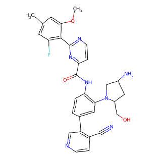 COc1cc(C)cc(F)c1-c1nccc(C(=O)Nc2ccc(-c3cnccc3C#N)cc2N2CC(N)CC2CO)n1